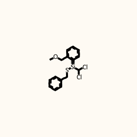 COCc1ccccc1[SiH](SCc1ccccc1)C(Cl)Cl